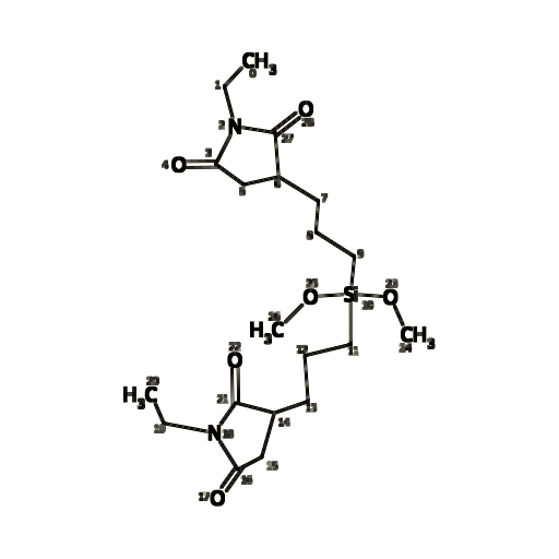 CCN1C(=O)CC(CCC[Si](CCCC2CC(=O)N(CC)C2=O)(OC)OC)C1=O